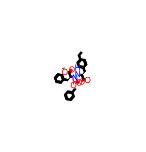 CCc1ccc(C[C@H](NN(C(=O)OCc2ccccc2)[C@@H](Cc2ccccc2)C(=O)OC)C(=O)O)cc1